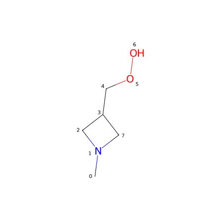 CN1CC(COO)C1